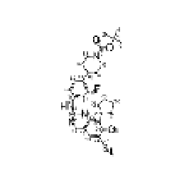 CC(C)(C)OC(=O)N1CCC(c2ccc(Nc3ncc4cc(C#N)c(=O)n(C5CCCC5)c4n3)cc2F)CC1